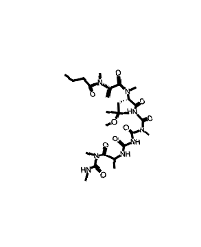 C=C(C(=O)N(C)[C@@H](CC(C)(C)OC)C(=O)NC(=O)N(C)C(=O)NC(=O)NC(C)C(=O)N(C)C(=O)NC)N(C)C(=O)CCC